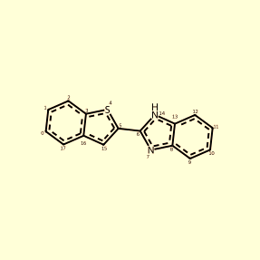 c1ccc2sc(-c3nc4ccccc4[nH]3)cc2c1